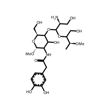 CO[C@@H]1O[C@@H](CO)C(OC(OC(CO)[C@H](C)OC)[C@@H](N)CO)C(O)C1NC(=O)Cc1ccc(O)c(O)c1